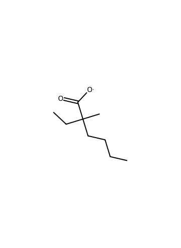 CCCCC(C)(CC)C([O])=O